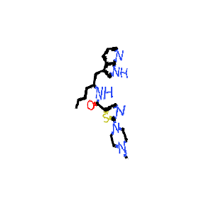 CCCCC(Cc1c[nH]c2ncccc12)NC(=O)c1cnc(N2CCN(C)CC2)s1